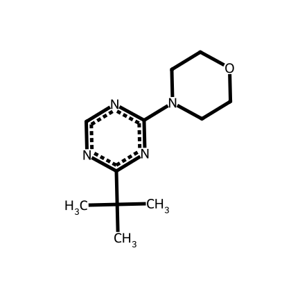 CC(C)(C)c1ncnc(N2CCOCC2)n1